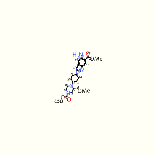 COC[C@H]1CN(C(=O)OC(C)(C)C)CCN1C1CCC(n2cc3cc(N)c(C(=O)OC)cc3n2)CC1